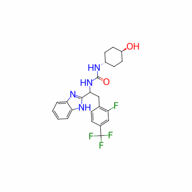 O=C(NC(Cc1ccc(C(F)(F)F)cc1F)c1nc2ccccc2[nH]1)N[C@H]1CC[C@H](O)CC1